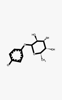 C[C@@H]1OC(Oc2ccc(Cl)cc2)[C@@H](O)[C@H](S)[C@@H]1O